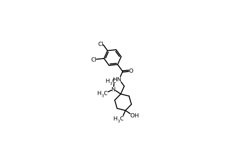 CN(C)C1(CNC(=O)c2ccc(Cl)c(Cl)c2)CCC(C)(O)CC1